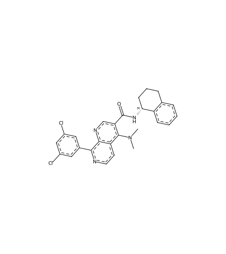 CN(C)c1c(C(=O)N[C@@H]2CCCc3ccccc32)cnc2c(-c3cc(Cl)cc(Cl)c3)nccc12